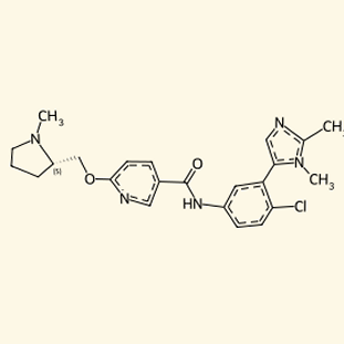 Cc1ncc(-c2cc(NC(=O)c3ccc(OC[C@@H]4CCCN4C)nc3)ccc2Cl)n1C